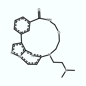 CN(C)CCN1CCOCNC(=O)c2cccc(c2)-c2cnn3ccc1nc23